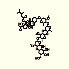 CO[C@H]1C[C@H](O[C@H]2[C@@H](OC)C[C@H](O[C@H]3CC[C@@]4(C)C(=CC[C@]5(O)[C@@H]4C[C@@H](OC(=O)/C=C(\C)C(C)C)[C@@]4(C)[C@]5(O)CC[C@@]4(O)C(C)=O)C3)O[C@@H]2C)O[C@@H](C)[C@H]1O[C@H]1C[C@H](OC)[C@H](O[C@H]2C[C@@H](OC)[C@@H](O[C@@H]3C[C@H](CO)[C@@H](O)[C@H](O)[C@H]3O)[C@H](C)O2)[C@@H](C)O1